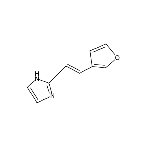 C(=Cc1ncc[nH]1)c1ccoc1